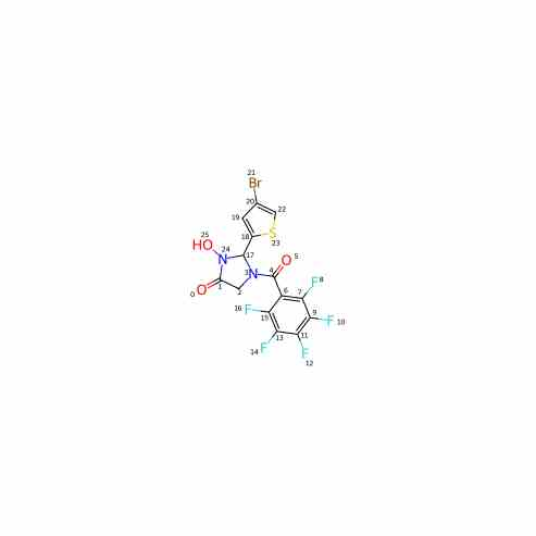 O=C1CN(C(=O)c2c(F)c(F)c(F)c(F)c2F)C(c2cc(Br)cs2)N1O